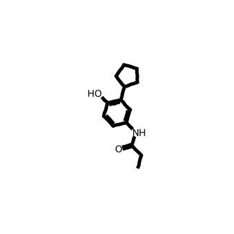 CCC(=O)Nc1ccc(O)c(C2CCCC2)c1